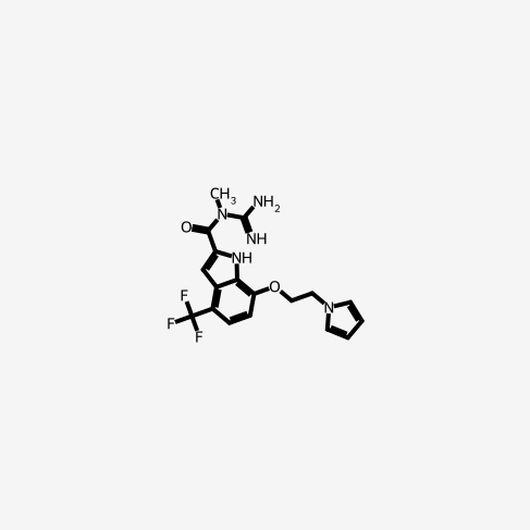 CN(C(=N)N)C(=O)c1cc2c(C(F)(F)F)ccc(OCCn3cccc3)c2[nH]1